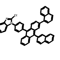 CCc1nc2ccccc2n1-c1ccc(-c2c3ccccc3c(-c3ccc4ccccc4c3)c3cc(-c4cccc5ccccc45)ccc23)cc1